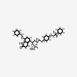 CC(C)(C)[Si](C)(C)OC(CNCCc1ccc(OCC(F)(F)c2ccccc2)cc1)c1ccc(OCc2ccccc2)c2[nH]c(=O)ccc12